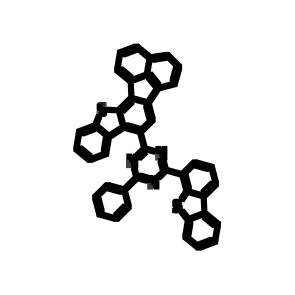 c1ccc(-c2nc(-c3cccc4c3sc3ccccc34)nc(-c3cc4c(c5sc6ccccc6c35)-c3cccc5cccc-4c35)n2)cc1